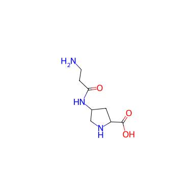 NCCC(=O)NC1CNC(C(=O)O)C1